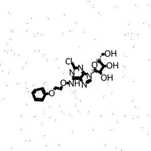 OC[C@H]1O[C@@H](n2cnc3c(NOCCOc4ccccc4)nc(Cl)nc32)C(O)C1O